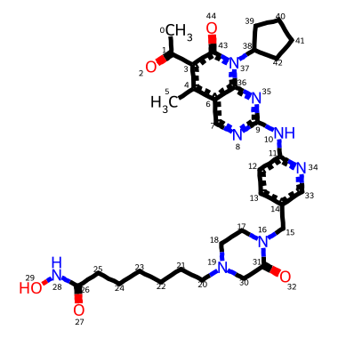 CC(=O)c1c(C)c2cnc(Nc3ccc(CN4CCN(CCCCCCC(=O)NO)CC4=O)cn3)nc2n(C2CCCC2)c1=O